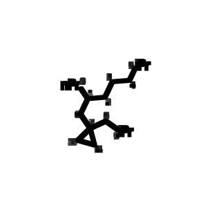 CCCC(CCCC(C)C)CC1(CC(C)C)CC1